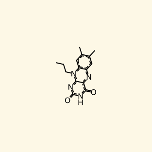 CCCn1c2nc(=O)[nH]c(=O)c-2nc2cc(C)c(C)cc21